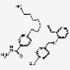 CC(C)(C)c1ccc(COc2ccccc2/C=C/C(CCCCC#N)CCc2ccc(C(=O)NN)cc2)cc1